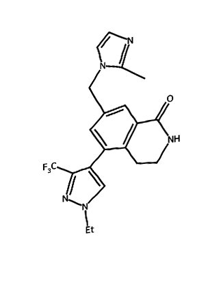 CCn1cc(-c2cc(Cn3ccnc3C)cc3c2CCNC3=O)c(C(F)(F)F)n1